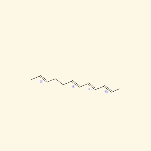 C/C=C/C=C/C=C/CC/C=C/C